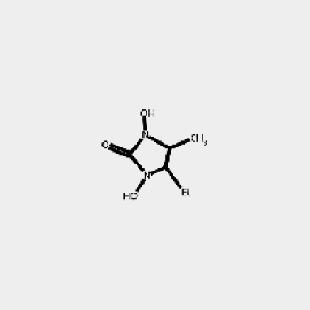 CCC1C(C)N(O)C(=O)N1O